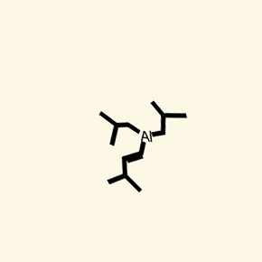 CC(C)/C=[CH]/[Al]([CH2]C(C)C)[CH2]C(C)C